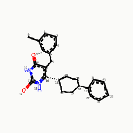 Cc1cccc(Cc2c(=O)[nH]c(=O)[nH]c2[C@H]2CC[C@H](c3ccccc3)CC2)c1